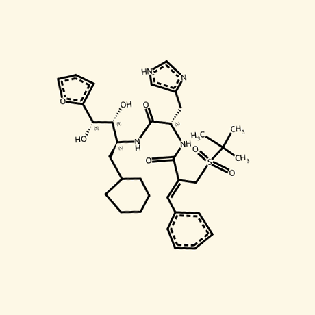 CC(C)(C)S(=O)(=O)CC(=Cc1ccccc1)C(=O)N[C@@H](Cc1c[nH]cn1)C(=O)N[C@@H](CC1CCCCC1)[C@@H](O)[C@H](O)c1ccco1